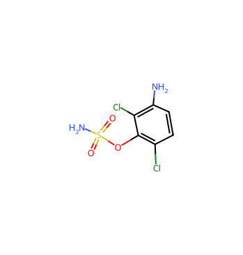 Nc1ccc(Cl)c(OS(N)(=O)=O)c1Cl